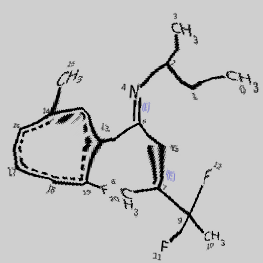 CCC(C)/N=C(\C=C(/C)C(C)(F)F)c1c(C)cccc1F